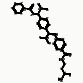 C=C(OC(c1ccc(C(Nc2ccc(C(=O)NCCC(=O)O)cc2)C(C)C)cc1)N(C)C)c1ccccc1